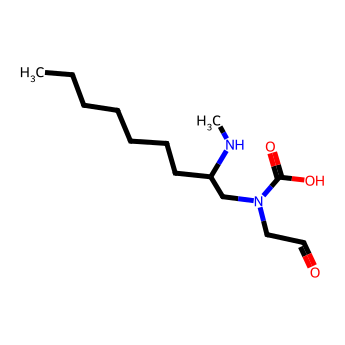 CCCCCCCC(CN(CC=O)C(=O)O)NC